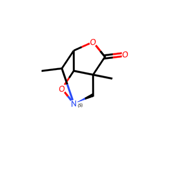 CC1C2OC(=O)C3(C)C[N@@]1OC23